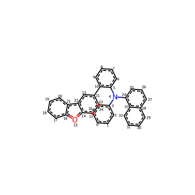 c1ccc(N(c2ccccc2-c2ccc3oc4ccccc4c3c2)c2cccc3ccccc23)cc1